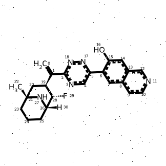 C=C(c1ncc(-c2cc3ccncc3cc2O)nn1)[C@@H]1C[C@@]2(C)CCC[C@H](N2)[C@H]1F